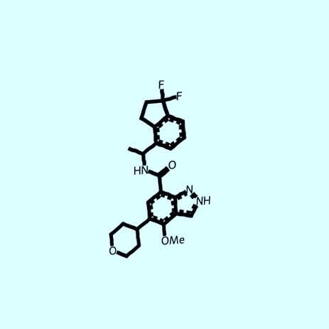 COc1c(C2CCOCC2)cc(C(=O)NC(C)c2cccc3c2CCC3(F)F)c2n[nH]cc12